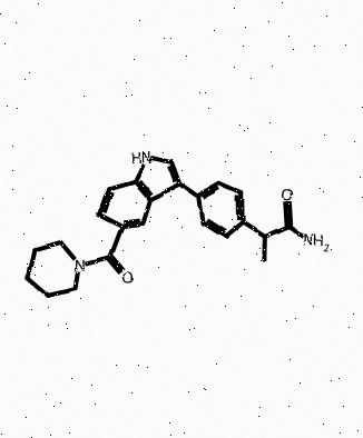 CC(C(N)=O)c1ccc(-c2c[nH]c3ccc(C(=O)N4CCCCC4)cc23)cc1